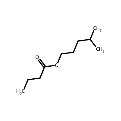 CCCC(=O)O[CH]CCC(C)C